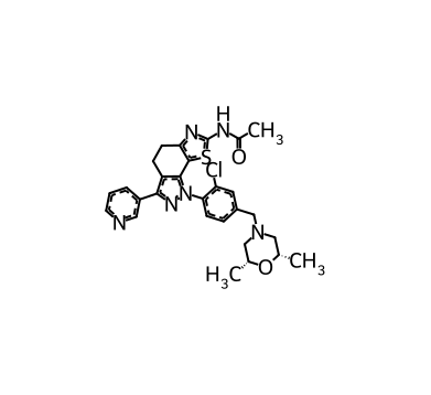 CC(=O)Nc1nc2c(s1)-c1c(c(-c3cccnc3)nn1-c1ccc(CN3C[C@@H](C)O[C@@H](C)C3)cc1Cl)CC2